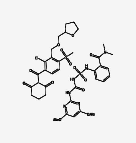 COc1cc(OC)nc(NC(=O)NS(=O)(=O)Nc2ccccc2C(=O)N(C)C)n1.CS(=O)(=O)c1ccc(C(=O)C2C(=O)CCCC2=O)c(Cl)c1COCC1CCCO1